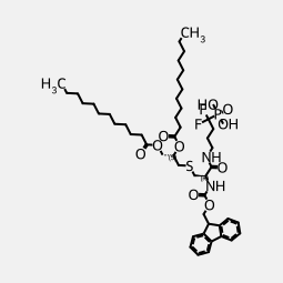 CCCCCCCCCCCC(=O)OC[C@@H](CSC[C@H](NC(=O)OCC1c2ccccc2-c2ccccc21)C(=O)NCCCC(F)(F)P(=O)(O)O)OC(=O)CCCCCCCCCCC